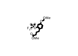 COCOc1ccc(CCCC(=O)OC)c(OS(=O)(=O)C(F)(F)F)c1